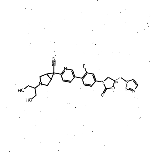 N#CC1(c2ccc(-c3ccc(N4C[C@H](Cn5ccnn5)OC4=O)cc3F)cn2)C2CN(C(CO)CO)CC21